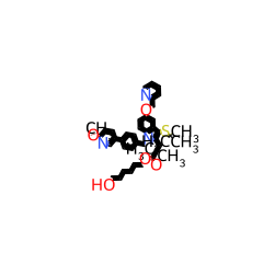 COc1ccc(-c2ccc(Cn3c(CC(C)(C)C(=O)OCCCCCCO)c(SC(C)(C)C)c4cc(OCc5ccccn5)ccc43)cc2)cn1